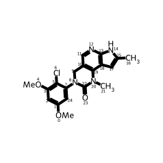 COc1cc(OC)c(Cl)c(N2Cc3cnc4[nH]c(C)cc4c3N(C)C2=O)c1